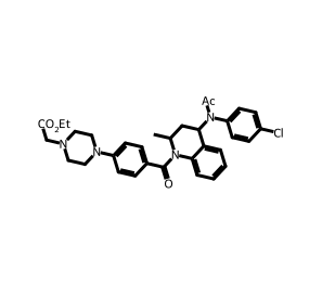 CCOC(=O)CN1CCN(c2ccc(C(=O)N3c4ccccc4C(N(C(C)=O)c4ccc(Cl)cc4)CC3C)cc2)CC1